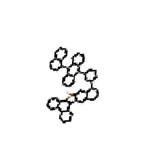 c1cc(-c2cccc3cc4c(cc23)sc2c3ccccc3c3ccccc3c42)cc(-c2c3ccccc3c(-c3cccc4ccccc34)c3ccccc23)c1